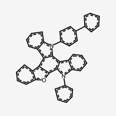 c1ccc(-c2ccc(-n3c4ccccc4c4c5c6ccccc6oc5c5c(c6ccccc6n5-c5ccccc5)c43)cc2)cc1